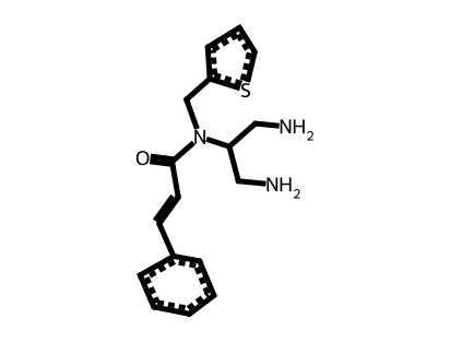 NCC(CN)N(Cc1cccs1)C(=O)/C=C/c1ccccc1